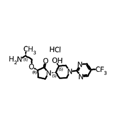 C[C@H](N)CO[C@@H]1CCN([C@H]2CCN(c3ncc(C(F)(F)F)cn3)C[C@@H]2O)C1=O.Cl